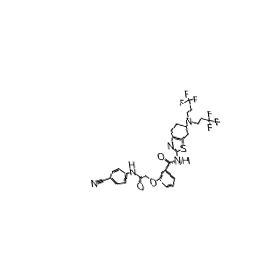 N#Cc1ccc(NC(=O)COc2cccc(C(=O)Nc3nc4c(s3)CC(N(CCC(F)(F)F)CCC(F)(F)F)CC4)c2)cc1